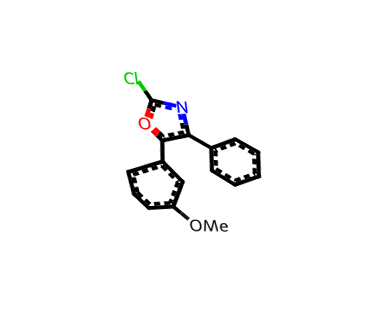 COc1cccc(-c2oc(Cl)nc2-c2ccccc2)c1